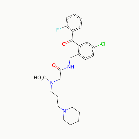 O=C(CN(CCCN1CCCCC1)C(=O)O)NCc1ccc(Cl)cc1C(=O)c1ccccc1F